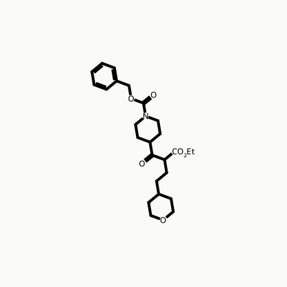 CCOC(=O)C(CCC1CCOCC1)C(=O)C1CCN(C(=O)OCc2ccccc2)CC1